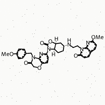 COc1ccc(CN2C(=O)COc3ccc(N4C(=O)O[C@H]5C[C@H](NCCn6c(=O)ccc7ccc(OC)nc76)CC[C@H]54)nc32)cc1